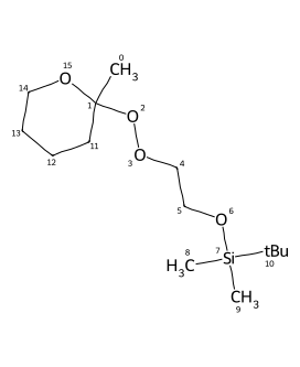 CC1(OOCCO[Si](C)(C)C(C)(C)C)CCCCO1